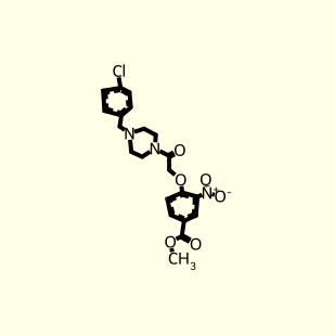 COC(=O)c1ccc(OCC(=O)N2CCN(Cc3ccc(Cl)cc3)CC2)c([N+](=O)[O-])c1